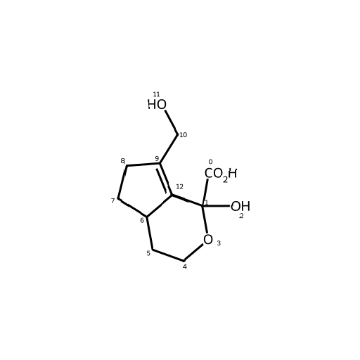 O=C(O)C1(O)OCCC2CCC(CO)=C21